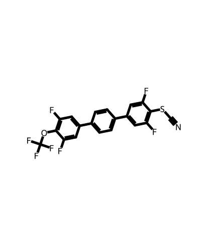 N#CSc1c(F)cc(-c2ccc(-c3cc(F)c(OC(F)(F)F)c(F)c3)cc2)cc1F